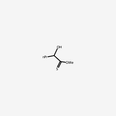 CCCC(O)C(=S)OC